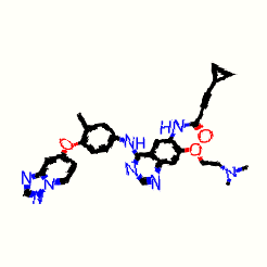 Cc1cc(Nc2ncnc3cc(OCCN(C)C)c(NC(=O)C#CC4CC4)cc23)ccc1Oc1ccn2ncnc2c1